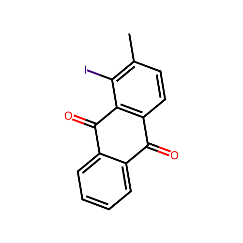 Cc1ccc2c(c1I)C(=O)c1ccccc1C2=O